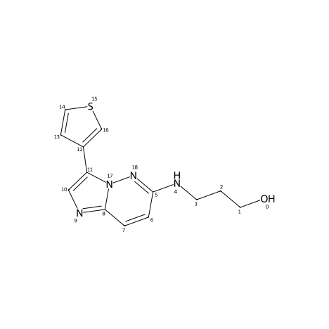 OCCCNc1ccc2ncc(-c3ccsc3)n2n1